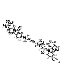 CC(C)(C(=O)Nc1ccc(C(F)(F)F)cc1-n1ncc2ccccc21)n1cc(C#CC2CN(c3ccc4c(c3)C(=O)N(C3CCC(=O)NC3=O)C4=O)C2)cn1